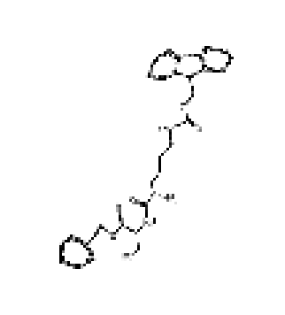 N[C@@H](CCCCNC(=O)OCC1c2ccccc2-c2ccccc21)C(=O)N[C@@H](CO)C(=O)OCc1ccccc1